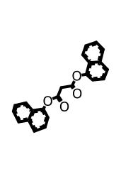 O=C(CC(=O)Oc1cccc2ccccc12)Oc1cccc2ccccc12